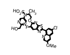 COc1cnc2c(-c3nc4cc(F)c(OC[C@@H](C)N(C(=O)O)c5cnc(CO)nc5)nc4s3)cc(Cl)cc2c1